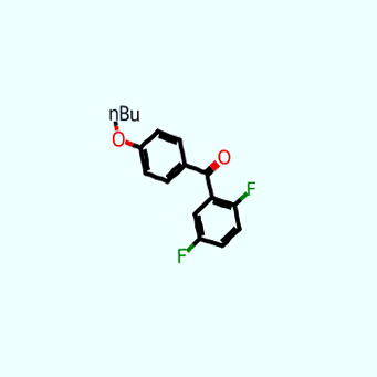 CCCCOc1ccc(C(=O)c2cc(F)ccc2F)cc1